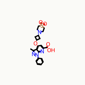 Cc1nn(-c2ccccc2)c2nc(C(=O)O)cc(O[C@H]3C[C@@H](N4CCS(=O)(=O)CC4)C3)c12